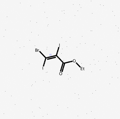 CCOC(=O)/C(I)=C(/Br)I